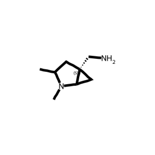 CC1C[C@@]2(CN)CC2N1C